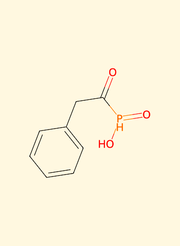 O=C(Cc1ccccc1)[PH](=O)O